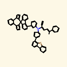 C#C/C(=C\C=C(/C)c1ccccc1)N(c1ccc(-c2cccc3c2sc2ccccc23)cc1)c1cccc(-c2cccc3c2-c2ccccc2C32c3ccccc3-c3ccccc3-c3ccccc32)c1